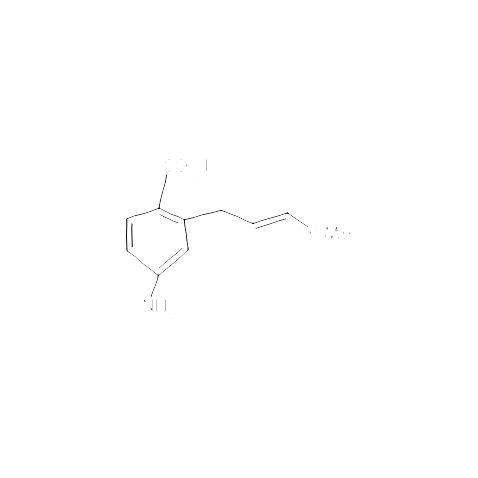 COC=CCc1cc(N)ccc1S(=O)(=O)O